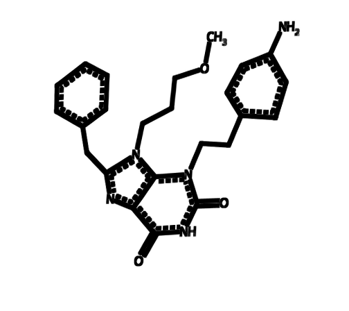 COCCCn1c(Cc2ccccc2)nc2c(=O)[nH]c(=O)n(CCc3ccc(N)cc3)c21